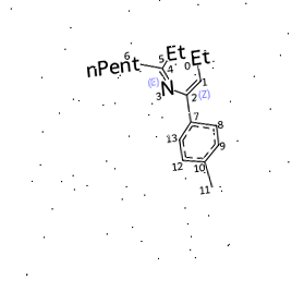 CC/C=C(\N=C(/CC)CCCCC)c1ccc(C)cc1